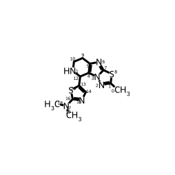 Cc1nn2c3c(nc2s1)CCNC3c1cnc(N(C)C)s1